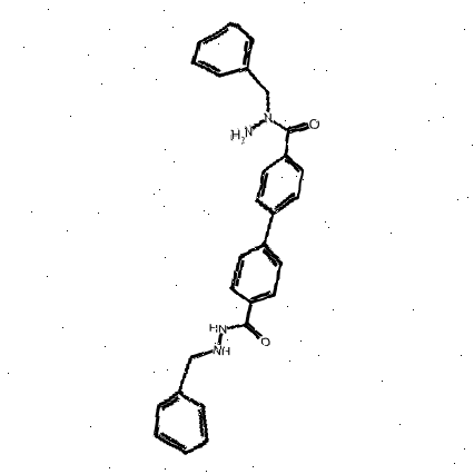 NN(Cc1ccccc1)C(=O)c1ccc(-c2ccc(C(=O)NNCc3ccccc3)cc2)cc1